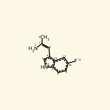 C/C(N)=C/c1c[nH]c2ccc(F)cc12